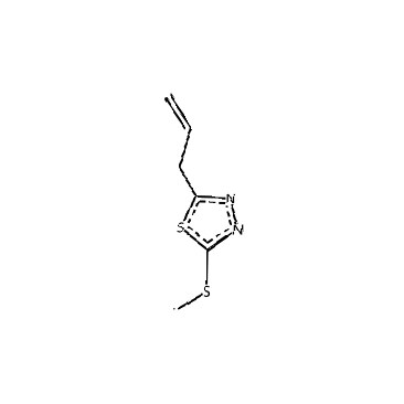 [CH2]Sc1nnc(CC=C)s1